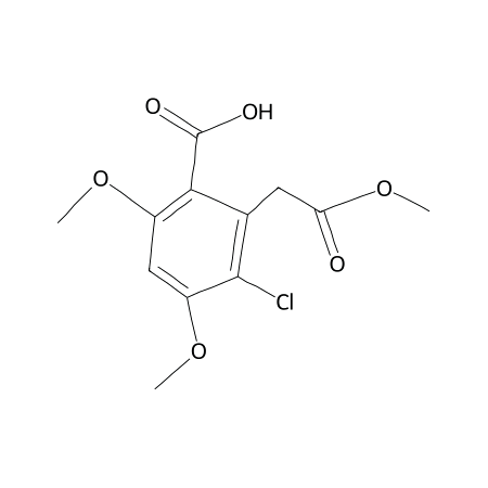 COC(=O)Cc1c(Cl)c(OC)cc(OC)c1C(=O)O